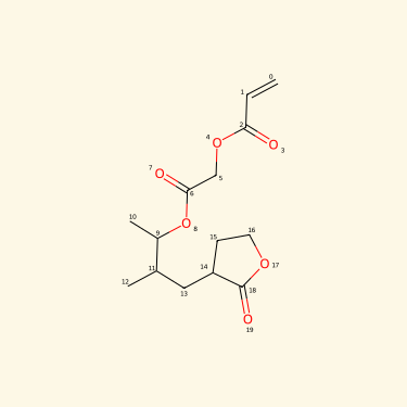 C=CC(=O)OCC(=O)OC(C)C(C)CC1CCOC1=O